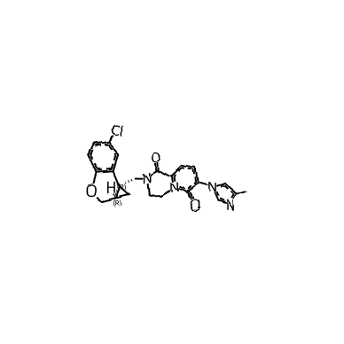 Cc1cn(-c2ccc3n(c2=O)CCN(C[C@]24C[C@H]2COc2ccc(Cl)cc24)C3=O)cn1